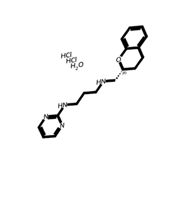 Cl.Cl.O.c1cnc(NCCCNC[C@H]2CCc3ccccc3O2)nc1